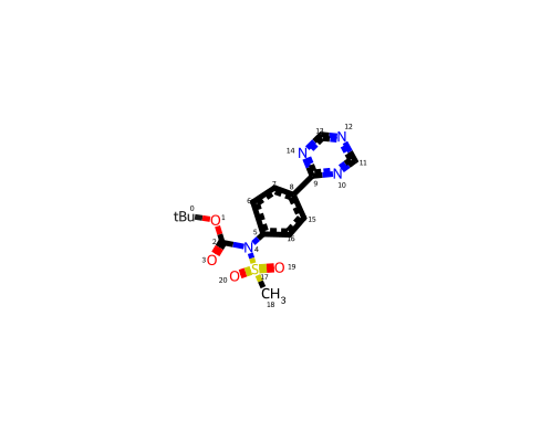 CC(C)(C)OC(=O)N(c1ccc(-c2ncncn2)cc1)S(C)(=O)=O